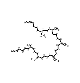 CNCCCCN(C)CCCN(C)CCCCN(C)CCCCN(C)CCCCN(C)CCCN(C)CCCCNC